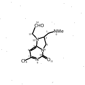 CNCC1Cn2c(cc(Cl)nc2=O)N1CC=O